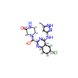 Cc1cc(Nc2nc(C(=O)N3CCNC(=O)C3)nc3ccc(Cl)cc23)n[nH]1